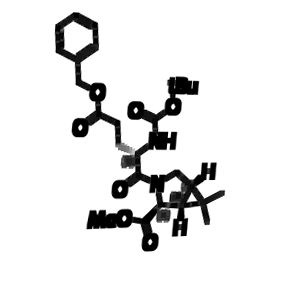 COC(=O)[C@@H]1[C@@H]2[C@H](CN1C(=O)[C@H](CCC(=O)OCc1ccccc1)NC(=O)OC(C)(C)C)C2(C)C